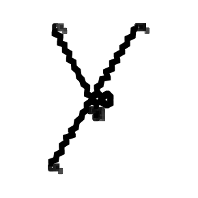 CCCCCCCCCCCCCCCCc1c(CCCCCCCCCCCCCCCC)c(S(=O)(=O)O)c2ccccc2c1CCCCCCCCCCCCCCCC